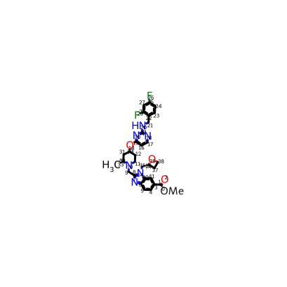 COC(=O)c1ccc2nc(CN3CC[C@H](Oc4ccnc(NCc5ccc(F)cc5F)n4)C[C@@H]3C)n(C[C@@H]3CCO3)c2c1